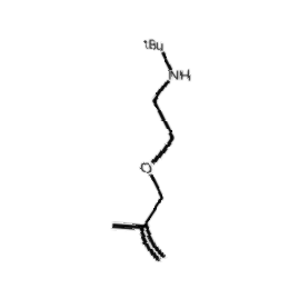 C=C(C)COCCNC(C)(C)C